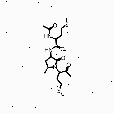 CSCCC(NC(C)=O)C(=O)NC1CC(C)N(C(CCSC)C(C)=O)C1=O